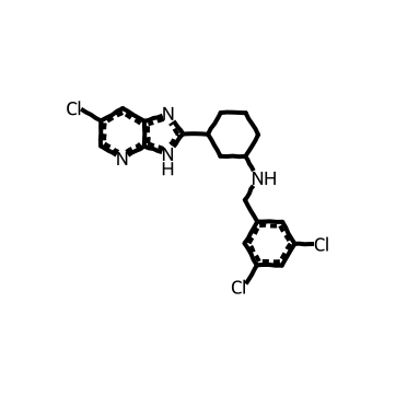 Clc1cc(Cl)cc(CNC2CCCC(c3nc4cc(Cl)cnc4[nH]3)C2)c1